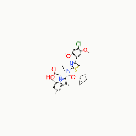 C1CC2CC2C1.CCN(C(=O)c1c(C)c2cc(C)cc(C)c2n1CC(=O)O)c1nc(-c2cc(OC)c(Cl)cc2OC)cs1